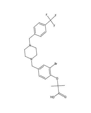 CC(C)(Oc1ccc(CN2CCN(Cc3ccc(C(F)(F)F)cc3)CC2)cc1Br)C(=O)O